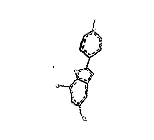 C[n+]1ccc(-c2cc3cc(Cl)cc(Cl)c3o2)cc1.[I-]